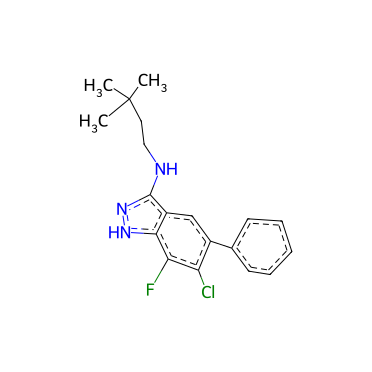 CC(C)(C)CCNc1n[nH]c2c(F)c(Cl)c(-c3ccccc3)cc12